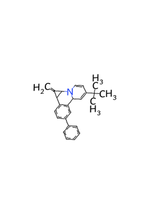 C=C1C2c3ccc(-c4ccccc4)cc3C3C=C(C(C)(C)C)C=CN3C12